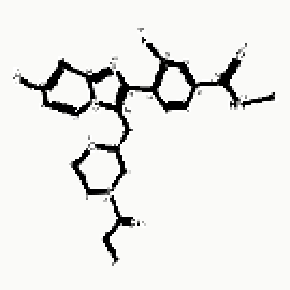 CCC(=O)N1CCO[C@@H](Cc2c(-c3ccc(C(=O)NC)cc3F)nc3cc(Cl)ccn23)C1